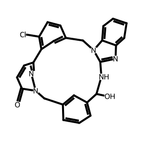 O=c1ccc2nn1Cc1cccc(c1)C(O)Nc1nc3ccccc3n1Cc1ccc(Cl)c-2c1